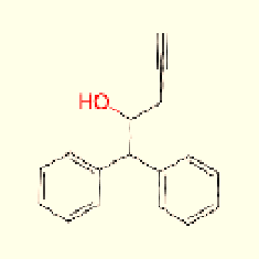 C#CCC(O)C(c1ccccc1)c1ccccc1